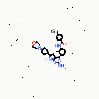 Cc1c(NC(=O)c2ccc(C(C)(C)C)cc2)cccc1-c1nc(N)nc2[nH]c(-c3ccc(N4CCOCC4)cc3)cc12